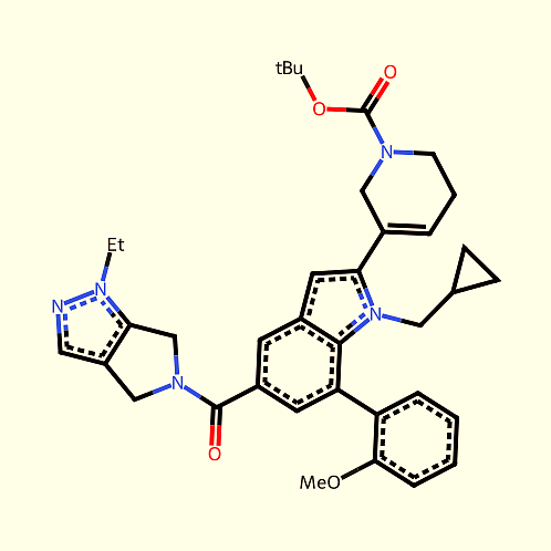 CCn1ncc2c1CN(C(=O)c1cc(-c3ccccc3OC)c3c(c1)cc(C1=CCCN(C(=O)OC(C)(C)C)C1)n3CC1CC1)C2